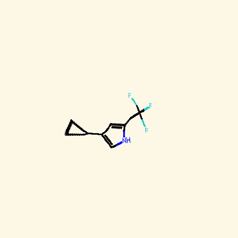 FC(F)(F)c1cc(C2CC2)c[nH]1